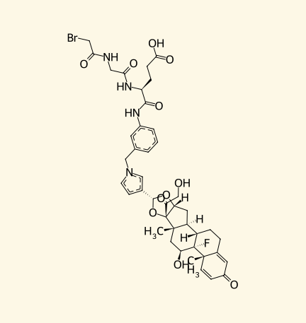 C[C@]12C=CC(=O)C=C1CC[C@H]1[C@@H]3C[C@H]4O[C@@H](c5ccn(Cc6cccc(NC(=O)[C@H](CCC(=O)O)NC(=O)CNC(=O)CBr)c6)c5)O[C@@]4(C(=O)CO)[C@@]3(C)C[C@H](O)[C@@]12F